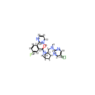 CN(CC12CCC(CN1C(=O)c1cc(F)ccc1-c1ncccn1)C2)c1ncc(Cl)cn1